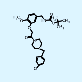 COc1ccc(CNC(=O)OC(C)(C)C)cc1OCC(=O)N1CCN(Cc2ccc(Cl)cc2)CC1